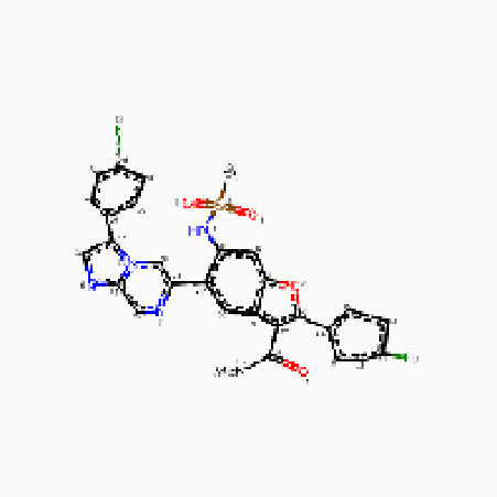 CCS(=O)(=O)Nc1cc2oc(-c3ccc(F)cc3)c(C(=O)NC)c2cc1-c1cn2c(-c3ccc(F)cc3)cnc2cn1